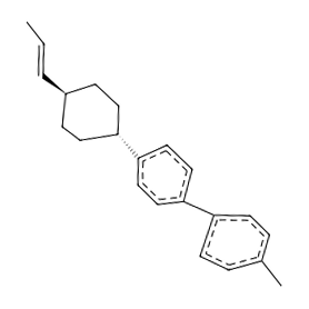 CC=C[C@H]1CC[C@H](c2ccc(-c3ccc(C)cc3)cc2)CC1